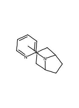 CN1CC2CCC(C1)N2c1ccccn1